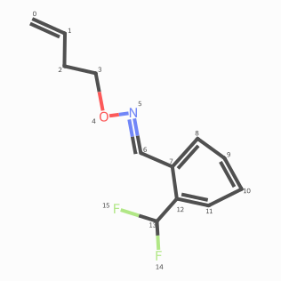 C=CCCON=[C]c1ccccc1C(F)F